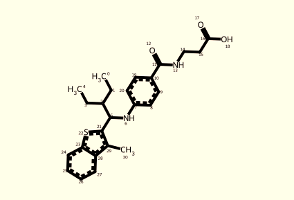 CCC(CC)C(Nc1ccc(C(=O)NCCC(=O)O)cc1)c1sc2ccccc2c1C